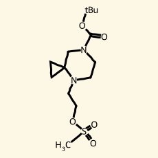 CC(C)(C)OC(=O)N1CCN(CCOS(C)(=O)=O)C2(CC2)C1